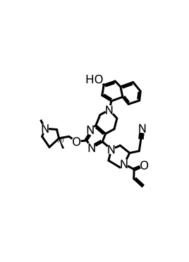 C=CC(=O)N1CCN(c2nc(OC[C@]3(C)CCN(C)C3)nc3c2CCN(c2cc(O)cc4ccccc24)C3)CC1CC#N